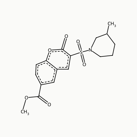 COC(=O)c1ccc2oc(=O)c(S(=O)(=O)N3CCCC(C)C3)cc2c1